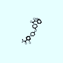 COC(C(=O)N1CCC(OC2CCN(c3ccc(C(=O)N(C)C)c(Cl)c3)CC2)CC1)c1ccccc1